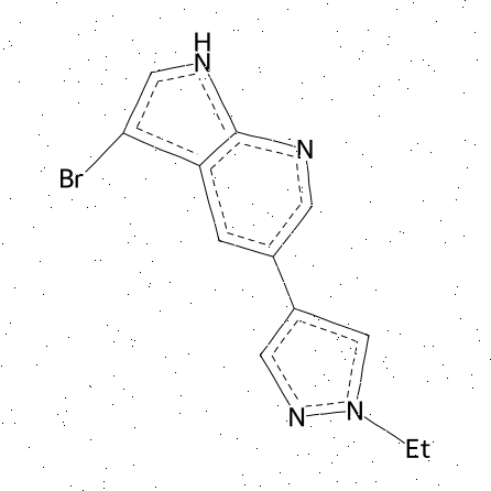 CCn1cc(-c2cnc3[nH]cc(Br)c3c2)cn1